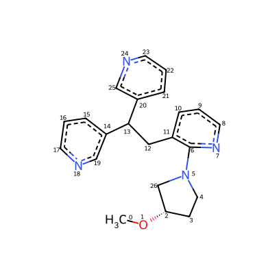 CO[C@H]1CCN(c2ncccc2CC(c2cccnc2)c2cccnc2)C1